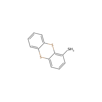 [SiH3]c1cccc2c1Sc1ccccc1S2